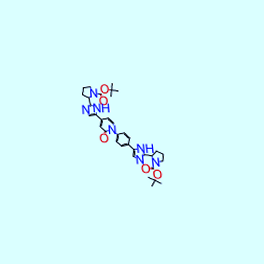 CC(C)(C)OC(=O)N1CCCC1c1ncc(-c2ccc(-n3ccc(-c4cnc(C5CCCN5C(=O)OC(C)(C)C)[nH]4)cc3=O)cc2)[nH]1